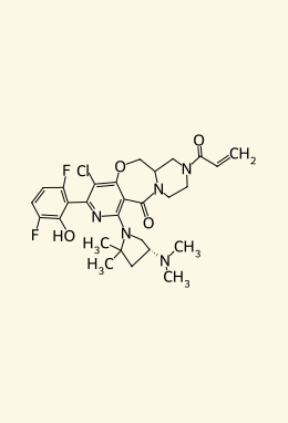 C=CC(=O)N1CCN2C(=O)c3c(N4C[C@H](N(C)C)CC4(C)C)nc(-c4c(F)ccc(F)c4O)c(Cl)c3OCC2C1